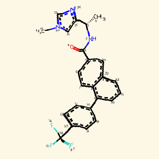 C[C@H](NC(=O)c1ccc2c(-c3ccc(C(F)(F)F)cc3)cccc2c1)c1cn(C)cn1